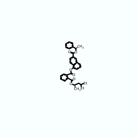 CCC(CC)C[C@@H](C)OC(=O)c1ccccc1C(=O)Oc1cccc2cc(C(=O)O[C@H](C)c3ccccc3)ccc12